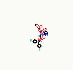 CCOCC(=O)OCOc1c(OC)ccnc1C(=O)N[C@@H](C)C(=O)O[C@@H](C)C(c1ccc(F)cc1)c1ccc(F)cc1